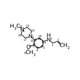 C=CCNc1ccc(OC)c(N2CCN(C)CC2)c1